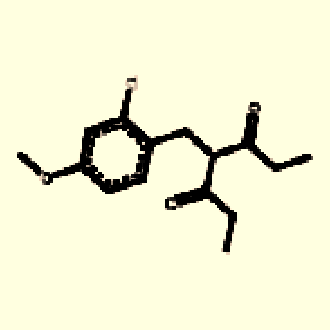 CCC(=O)C(Cc1ccc(OC)cc1Cl)C(=O)CC